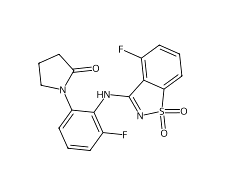 O=C1CCCN1c1cccc(F)c1NC1=NS(=O)(=O)c2cccc(F)c21